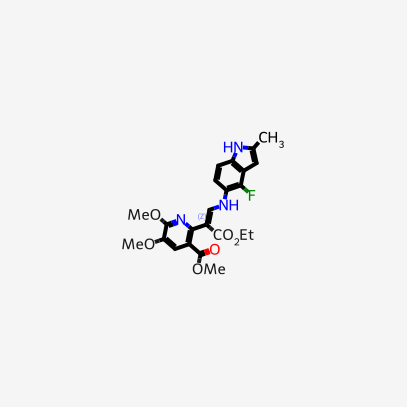 CCOC(=O)/C(=C\Nc1ccc2[nH]c(C)cc2c1F)c1nc(OC)c(OC)cc1C(=O)OC